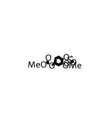 COC(=O)Oc1ccc(OS(C)(=O)=O)c(OC)c1